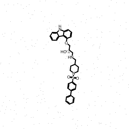 O=S(=O)(c1ccc(-c2ccccc2)cc1)N1CCC(CNC[C@H](O)COc2cccc3[nH]c4ccccc4c23)CC1